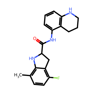 Cc1ccc(F)c2c1NC(C(=O)Nc1cccc3c1CCCN3)C2